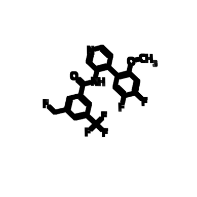 COc1cc(F)c(F)cc1-c1ccncc1NC(=O)c1cc(CF)cc(C(F)(F)F)c1